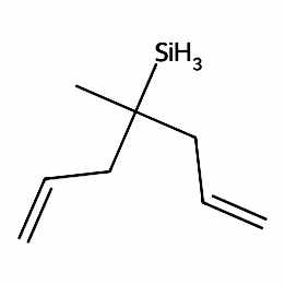 C=CCC(C)([SiH3])CC=C